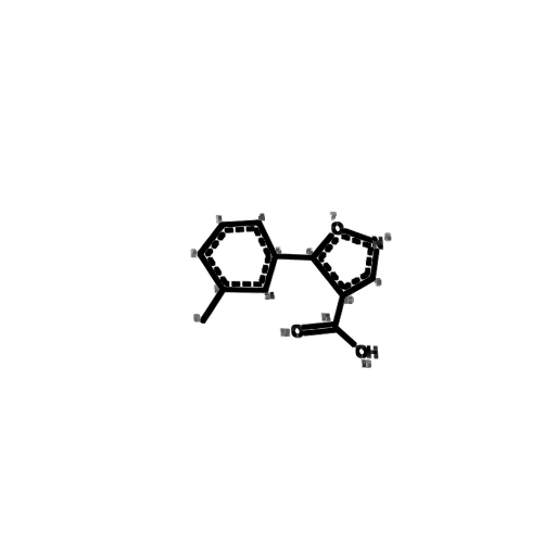 Cc1cccc(-c2oncc2C(=O)O)c1